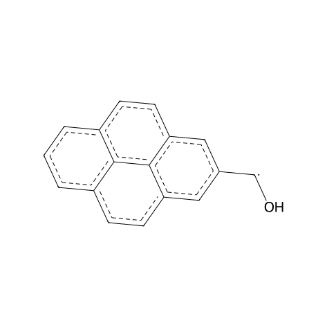 O[CH]c1cc2ccc3cccc4ccc(c1)c2c34